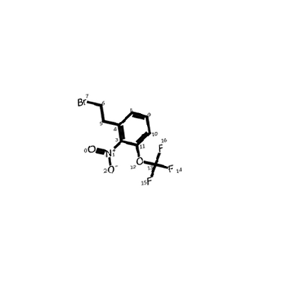 O=[N+]([O-])c1c(CCBr)cccc1OC(F)(F)F